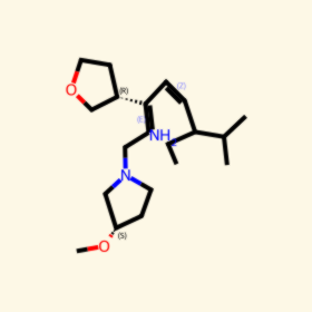 CCC(/C=C\C(=C(/N)CN1CC[C@H](OC)C1)[C@H]1CCOC1)C(C)C